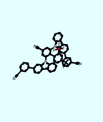 N#Cc1cccc(-c2ccc3c4ccccc4n(-c4cc(C#N)cc(-n5c6ccccc6c6ccc(-c7cccc(C#N)c7)cc65)c4-c4ccc(C(F)(F)F)cc4C(F)(F)F)c3c2)c1